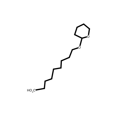 O=C(O)CCCCCCCCOC1CCCCO1